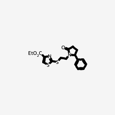 CCOC(=O)c1csc(SCCN2C(=O)CCC2c2ccccc2)n1